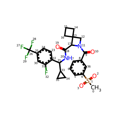 CS(=O)(=O)c1cccc(C(=O)N2CC3(CCC3)C2C(=O)NC(c2ccc(C(F)(F)F)cc2F)C2CC2)c1